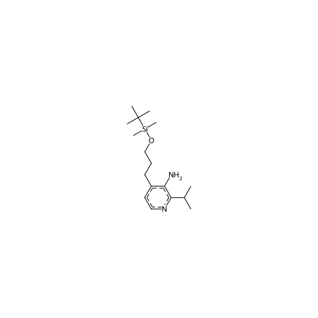 CC(C)c1nccc(CCCO[Si](C)(C)C(C)(C)C)c1N